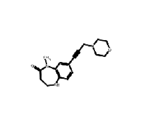 CN1C(=O)CCNc2ccc(C#CCN3CCOCC3)cc21